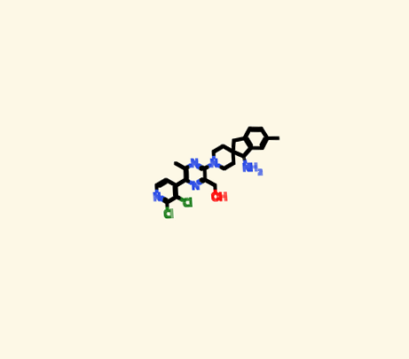 Cc1ccc2c(c1)[C@@H](N)C1(CCN(c3nc(C)c(-c4ccnc(Cl)c4Cl)nc3CO)CC1)C2